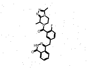 Cc1nnc2n1CCN(C(=O)c1cc(Cc3n[nH]c(=O)c4ccccc34)ccc1F)C2C